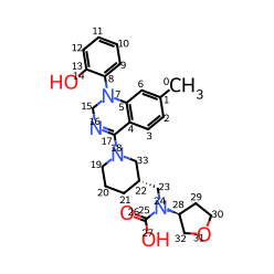 Cc1ccc2c(c1)N(c1ccccc1O)CN=C2N1CCC[C@@H](CN(C(=O)O)[C@H]2CCOC2)C1